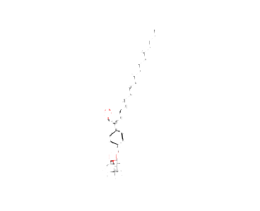 CCCCCCCCCCCCCCCCC(C=O)c1ccc(CO[Si](C)(C)C(C)(C)C)cc1